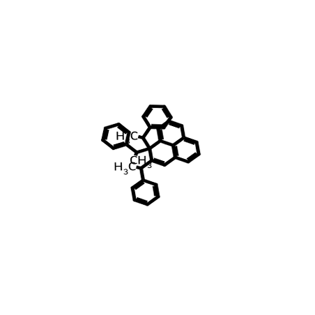 CC(C1=Cc2cccc3cccc(c23)C1(C(C)c1ccccc1)C(C)c1ccccc1)c1ccccc1